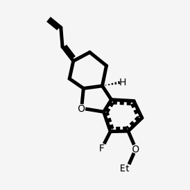 C=C/C=C1\CC[C@H]2c3ccc(OCC)c(F)c3OC2C1